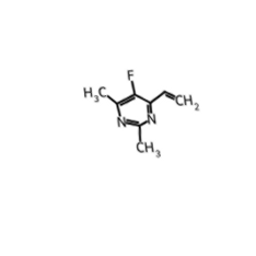 C=Cc1nc(C)nc(C)c1F